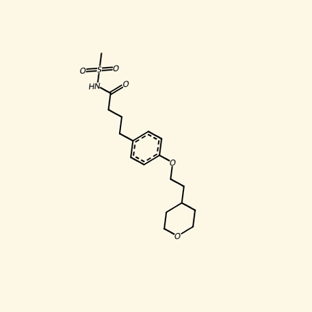 CS(=O)(=O)NC(=O)CCCc1ccc(OCCC2CCOCC2)cc1